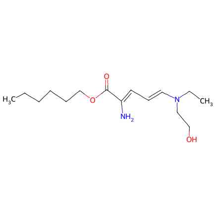 CCCCCCOC(=O)/C(N)=C/C=C/N(CC)CCO